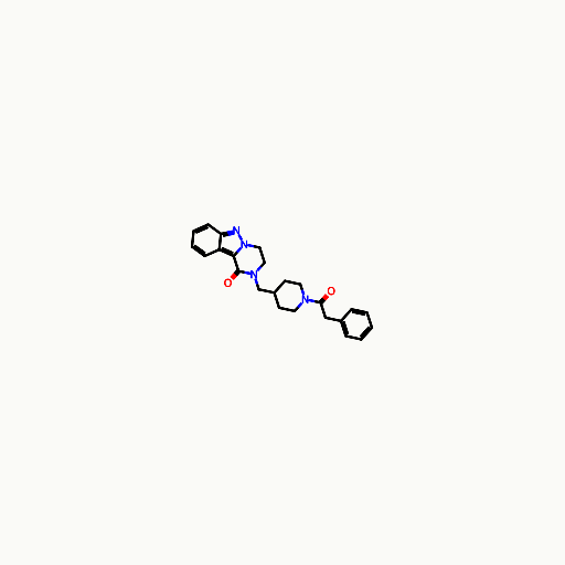 O=C(Cc1ccccc1)N1CCC(CN2CCn3nc4ccccc4c3C2=O)CC1